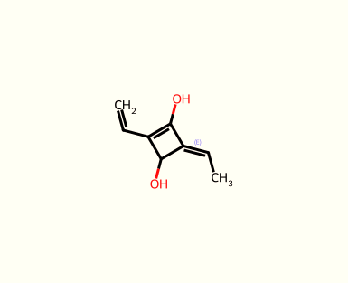 C=CC1=C(O)/C(=C/C)C1O